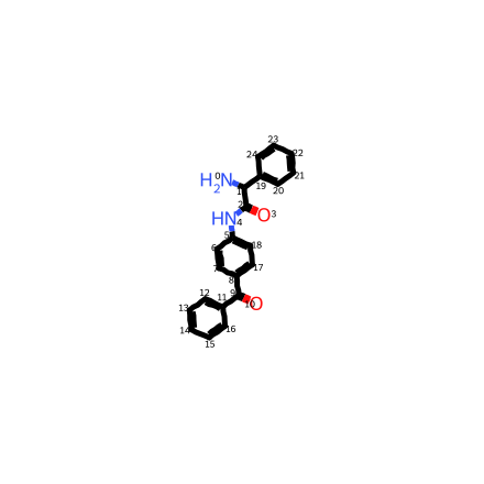 NC(C(=O)Nc1ccc(C(=O)c2ccccc2)cc1)c1ccccc1